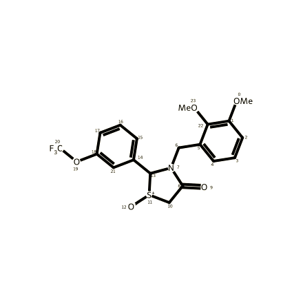 COc1cccc(CN2C(=O)C[S+]([O-])C2c2cccc(OC(F)(F)F)c2)c1OC